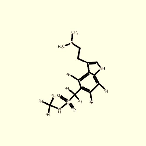 [2H]c1c(C([2H])([2H])S(=O)(=O)NC([2H])([2H])[2H])c([2H])c2c(CCN(C)C)c[nH]c2c1[2H]